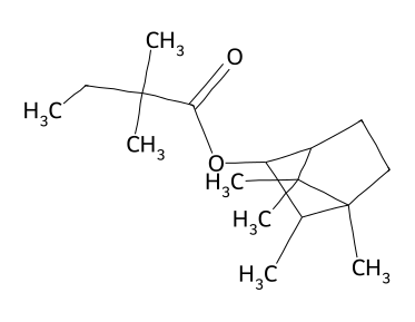 CCC(C)(C)C(=O)OC1C2CCC(C)(C1C)C2(C)C